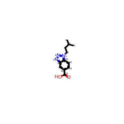 CC(C)CCn1nnc2cc(C(=O)O)ccc21